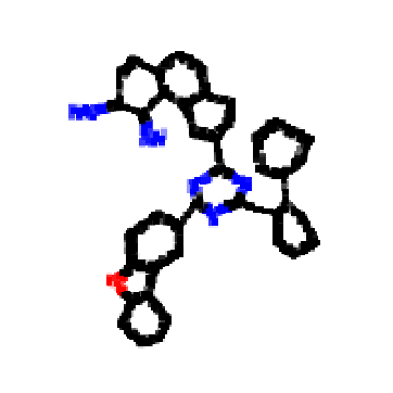 N=C1C=Cc2ccc3ccc(-c4nc(-c5ccc6oc7ccccc7c6c5)nc(-c5ccccc5-c5ccccc5)n4)cc3c2C1=N